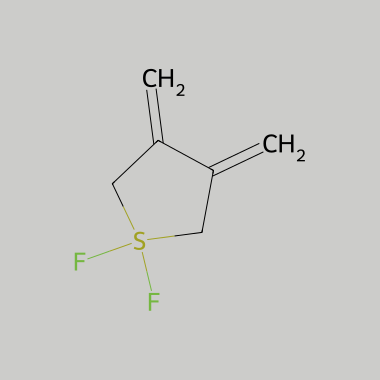 C=C1CS(F)(F)CC1=C